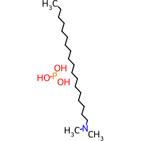 CCCCCCCCCCCCCCCCCCN(C)C.OP(O)O